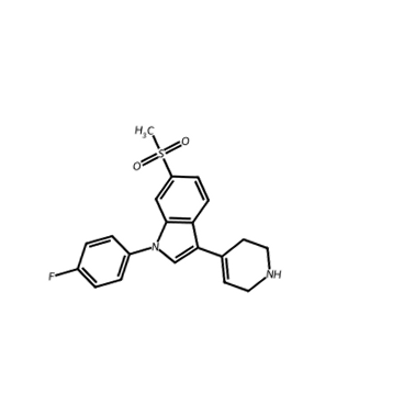 CS(=O)(=O)c1ccc2c(C3=CCNCC3)cn(-c3ccc(F)cc3)c2c1